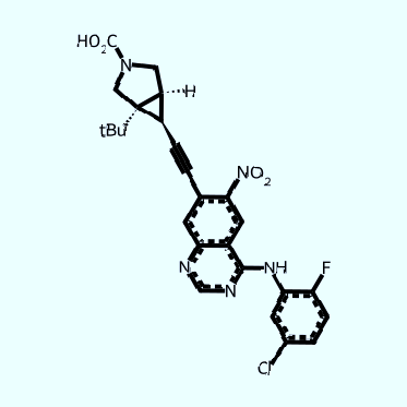 CC(C)(C)[C@]12CN(C(=O)O)C[C@H]1[C@H]2C#Cc1cc2ncnc(Nc3cc(Cl)ccc3F)c2cc1[N+](=O)[O-]